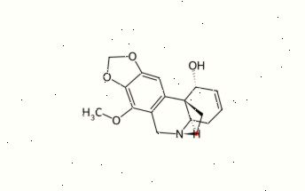 COc1c2c(cc3c1OCO3)[C@@]13CC[N@@](C2)[C@@H]1CC=C[C@H]3O